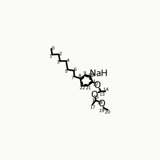 CCCCCCCCc1ccc(OC(C)OC(C)OCC)cc1.[NaH]